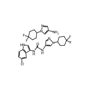 Nc1cnn(C2CCC(F)(F)CC2)c1.O=C(Nc1cnn(C2CCC(F)(F)CC2)c1)Nc1c[nH]c2ccc(Cl)cc12